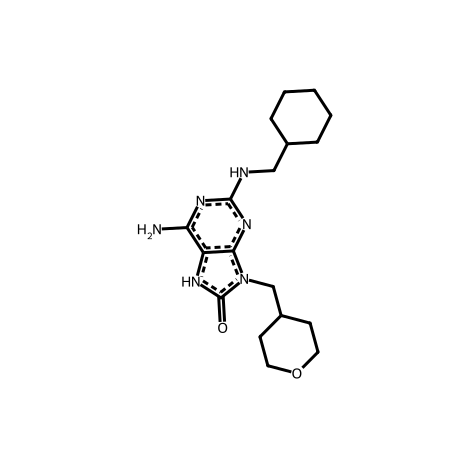 Nc1nc(NCC2CCCCC2)nc2c1[nH]c(=O)n2CC1CCOCC1